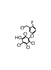 Fc1ccccc1CCl.Oc1c(Cl)c(Cl)c(Cl)c(Cl)c1Cl